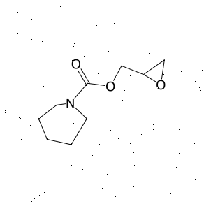 O=C(OCC1CO1)N1CCCCC1